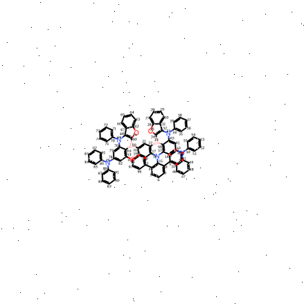 c1ccc(-c2cccc(-c3ccccc3)c2N2c3cc4c(cc3B3c5oc6ccccc6c5N(c5ccccc5)c5cc(N(c6ccccc6)c6ccccc6)cc2c53)B2c3oc5ccccc5c3N(c3ccccc3)c3cc(N(c5ccccc5)c5ccccc5)cc(c32)O4)cc1